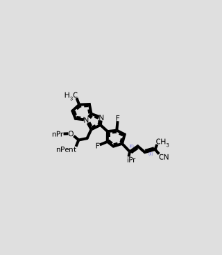 CCCCCC(Cc1c(-c2c(F)cc(/C(=C/C=C(\C)C#N)C(C)C)cc2F)nc2cc(C)ccn12)OCCC